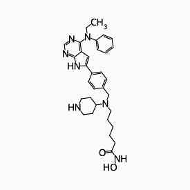 CCN(c1ccccc1)c1ncnc2[nH]c(-c3ccc(CN(CCCCCC(=O)NO)C4CCNCC4)cc3)cc12